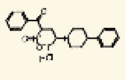 Cl.O=C(c1ccccc1)C(CC(F)N1CCC(c2ccccc2)CC1)[N+](=O)[O-]